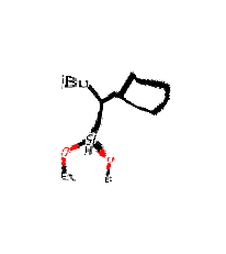 CCO[SiH](OCC)C(C(C)CC)C1CCC1